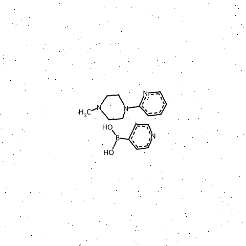 CN1CCN(c2ccccn2)CC1.OB(O)c1ccncc1